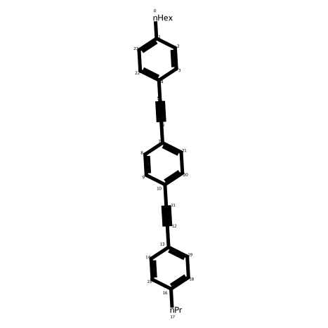 CCCCCCc1ccc(C#Cc2ccc(C#Cc3ccc(CCC)cc3)cc2)cc1